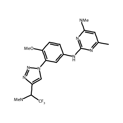 CNc1cc(C)nc(Nc2ccc(OC)c(-n3cc(C(NC)C(F)(F)F)nn3)c2)n1